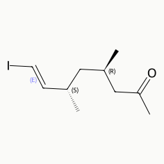 CC(=O)C[C@H](C)C[C@H](C)/C=C/I